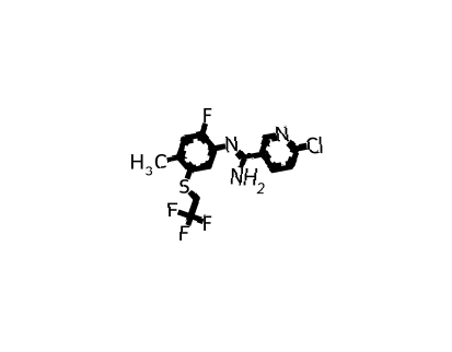 Cc1cc(F)c(/N=C(\N)c2ccc(Cl)nc2)cc1SCC(F)(F)F